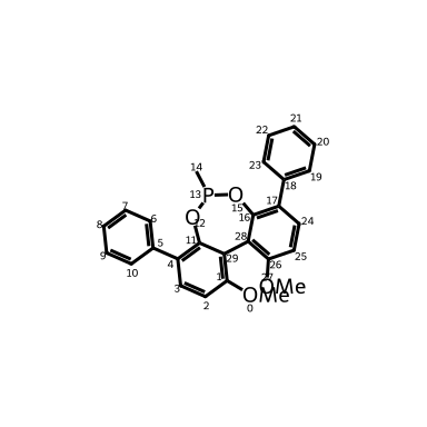 COc1ccc(-c2ccccc2)c2op(C)oc3c(-c4ccccc4)ccc(OC)c3c12